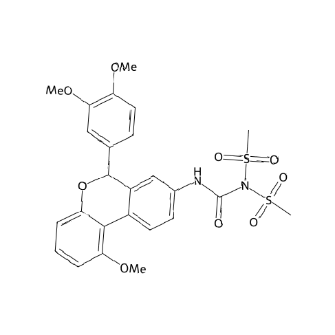 COc1ccc(C2Oc3cccc(OC)c3-c3ccc(NC(=O)N(S(C)(=O)=O)S(C)(=O)=O)cc32)cc1OC